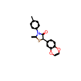 C=C1SC(c2ccc3c(c2)OC=CO3)C(=O)N1c1ccc(C)cc1